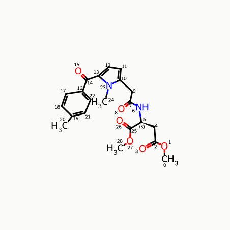 COC(=O)C[C@H](NC(=O)Cc1ccc(C(=O)c2ccc(C)cc2)n1C)C(=O)OC